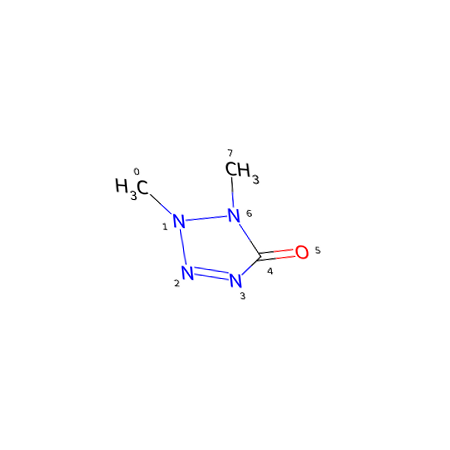 Cn1nnc(=O)n1C